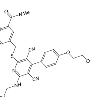 CNC(=O)c1cc(CSc2nc(NCC(C)(C)C)c(C#N)c(-c3ccc(OCCO)cc3)c2C#N)ccn1